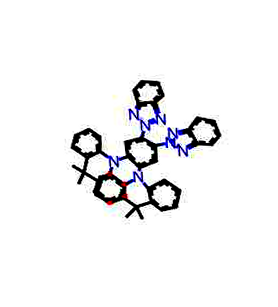 CC1(C)c2ccccc2N(c2cc(-n3nc4ccccc4n3)c(-n3nc4ccccc4n3)cc2N2c3ccccc3C(C)(C)c3ccccc32)c2ccccc21